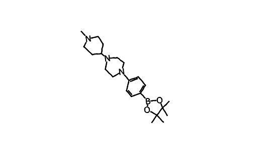 CN1CCC(N2CCN(c3ccc(B4OC(C)(C)C(C)(C)O4)cc3)CC2)CC1